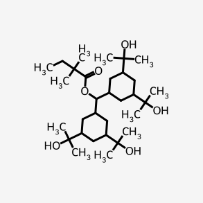 CCC(C)(C)C(=O)OC(C1CC(C(C)(C)O)CC(C(C)(C)O)C1)C1CC(C(C)(C)O)CC(C(C)(C)O)C1